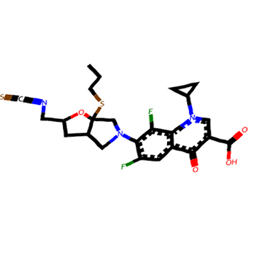 CCCSC12CN(c3c(F)cc4c(=O)c(C(=O)O)cn(C5CC5)c4c3F)CC1CC(CN=C=S)O2